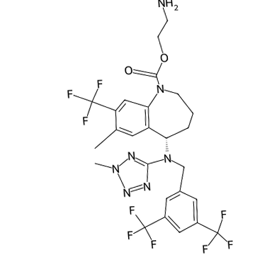 Cc1cc2c(cc1C(F)(F)F)N(C(=O)OCCN)CCC[C@@H]2N(Cc1cc(C(F)(F)F)cc(C(F)(F)F)c1)c1nnn(C)n1